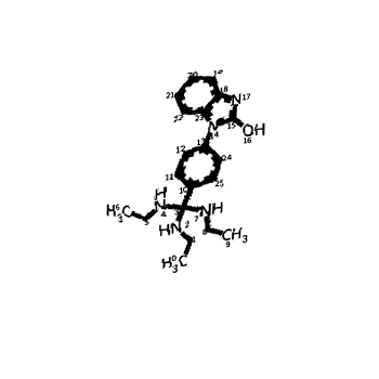 CCNC(NCC)(NCC)c1ccc(-n2c(O)nc3ccccc32)cc1